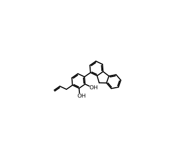 C=CCc1ccc(-c2cccc3c2Cc2ccccc2-3)c(O)c1O